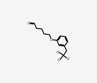 O=CCCCCOc1cccc(CC(Cl)(Cl)Cl)c1